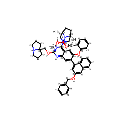 CC(C)(C)OC(=O)N1[C@@H]2CC[C@H]1CN(c1nc(OCC34CCCN3CCC4)nc3cc(-c4cc(OCc5ccccc5)cc5ccccc45)c(Oc4ccccc4C#N)cc13)C2